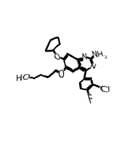 Nc1nc(-c2ccc(F)c(Cl)c2)c2cc(OCCCCO)c(OC3CCCC3)cc2n1